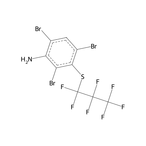 Nc1c(Br)cc(Br)c(SC(F)(F)C(F)(F)C(F)(F)F)c1Br